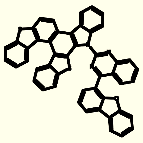 c1ccc2c(-c3cccc4c3oc3ccccc34)nc(-n3c4ccccc4c4c5ccc6sc7ccccc7c6c5c5c6ccccc6sc5c43)nc2c1